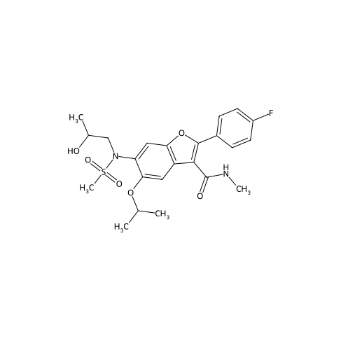 CNC(=O)c1c(-c2ccc(F)cc2)oc2cc(N(CC(C)O)S(C)(=O)=O)c(OC(C)C)cc12